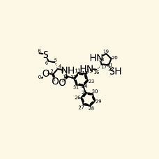 COC(=O)[C@H](CCSC)NC(=O)c1cc(NC[C@@H]2NCC[C@@H]2S)cc(-c2ccccc2)c1